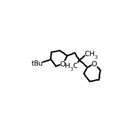 CC(C)(C)C1CCC(CC(C)(C)C2CCCCO2)OC1